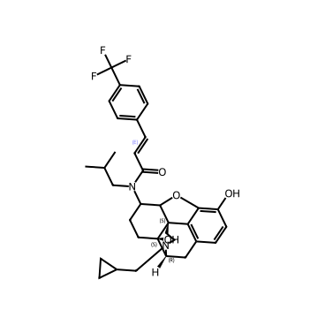 CC(C)CN(C(=O)/C=C/c1ccc(C(F)(F)F)cc1)C1CC[C@@]2(O)[C@H]3Cc4ccc(O)c5c4[C@@]2(CCN3CC2CC2)C1O5